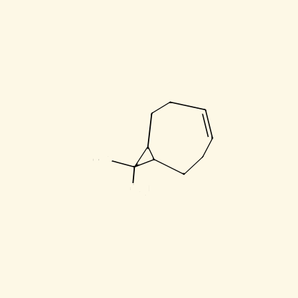 O=C(O)C1(C(=O)O)C2CC/C=C\CCC21